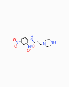 O=[N+]([O-])c1ccc(NCCCN2CCNCC2)c([N+](=O)[O-])c1